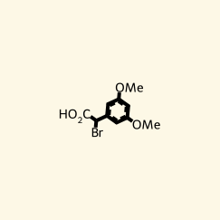 COc1cc(OC)cc(C(Br)C(=O)O)c1